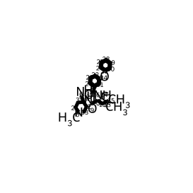 CN1CCC(C#N)(NC(=O)C(CC(C)(C)C)NC(=O)c2cccc(Oc3ccccc3)c2)CC1